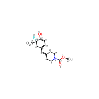 CC(C)(C)OC(=O)N1CCC(=CC2=CC=C(O)C(F)([N+](=O)[O-])C2)CC1